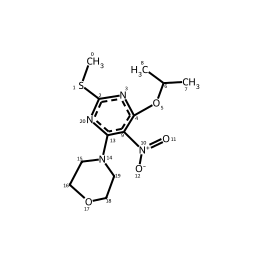 CSc1nc(OC(C)C)c([N+](=O)[O-])c(N2CCOCC2)n1